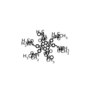 C=C(C)C(=O)NCCc1ccc(Oc2cc3c4c(cc(Oc5ccc(CCNC(=O)C(=C)C)cc5)c5c6c(Oc7ccc(CCNC(=O)C(=C)C)cc7)cc7c8c(cc(Oc9ccc(CCNC(=O)C(=C)C)cc9)c(c2c45)c86)C(=O)N(CC(=O)N(CC)C2CCCCC2)C7=O)C(=O)N(CC(=O)N(CC)C2CCCCC2)C3=O)cc1